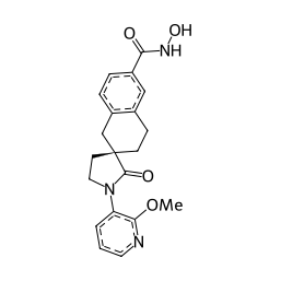 COc1ncccc1N1CC[C@@]2(CCc3cc(C(=O)NO)ccc3C2)C1=O